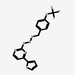 FC(F)(F)Oc1ccc(CSSSc2nccc(-c3cccs3)n2)cc1